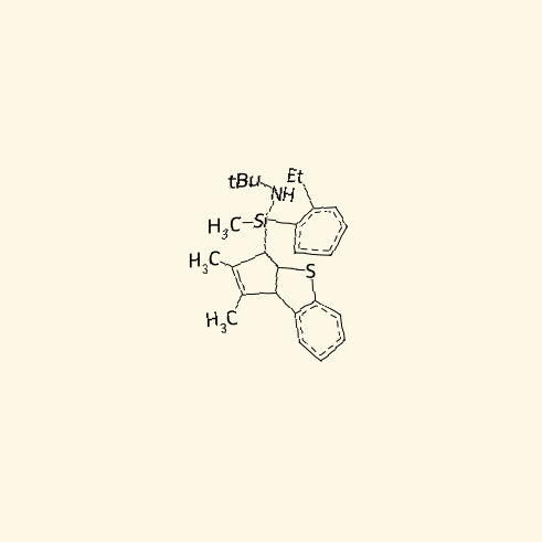 CCc1ccccc1[Si](C)(NC(C)(C)C)C1C(C)=C(C)C2c3ccccc3SC21